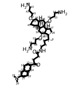 C[C@H](CCCNC(=O)CCC(=O)c1ccc2cc(N(C)C)ccc2c1)[C@H]1CC[C@H]2[C@@H]3[C@H](OCCCN)C[C@@H]4C[C@H](OCCCN)CC[C@]4(C)[C@H]3C[C@H](OCCCN)[C@]12C